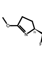 COC1=N[C@H](CF)CC1